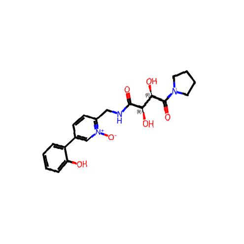 O=C(NCc1ccc(-c2ccccc2O)c[n+]1[O-])[C@H](O)[C@@H](O)C(=O)N1CCCC1